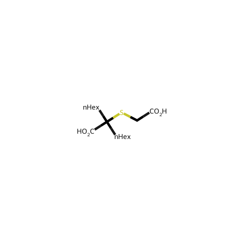 CCCCCCC(CCCCCC)(SCC(=O)O)C(=O)O